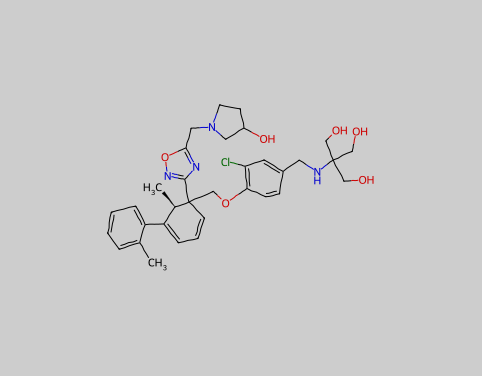 Cc1ccccc1C1=CC=CC(COc2ccc(CNC(CO)(CO)CO)cc2Cl)(c2noc(CN3CCC(O)C3)n2)[C@@H]1C